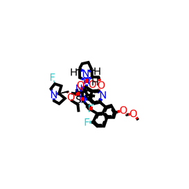 COCOc1cc(-c2nc3c4c(nc(OC[C@@]56CCCN5C[C@H](F)C6)nc4c2F)N2C[C@H]4CC[C@@H]([C@@H]2CO3)N4C(=O)OC(C)(C)C)c2c(C#C[Si](C(C)C)(C(C)C)C(C)C)c(F)ccc2c1